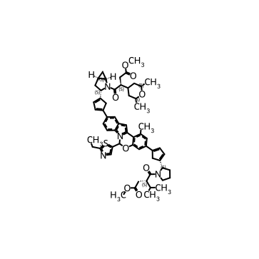 CCc1ncc(C2Oc3cc(C4=CC=C([C@@H]5CCCN5C(=O)[C@@H](CC(=O)OC)C(C)C)C4)cc(C)c3-c3cc4cc(C5=CC=C([C@@H]6C[C@H]7C[C@H]7N6C(=O)[C@@H](CC(=O)OC)C6C[C@@H](C)O[C@@H](C)C6)C5)ccc4n32)s1